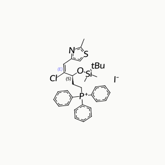 Cc1nc(/C=C(/Cl)[C@H](CC[P+](c2ccccc2)(c2ccccc2)c2ccccc2)O[Si](C)(C)C(C)(C)C)cs1.[I-]